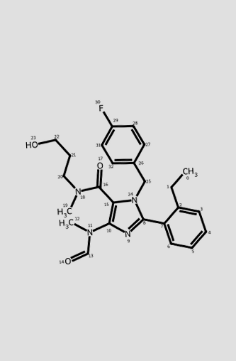 CCc1ccccc1-c1nc(N(C)C=O)c(C(=O)N(C)CCCO)n1Cc1ccc(F)cc1